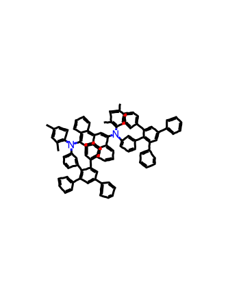 Cc1ccc(N(c2cccc(-c3c(-c4ccccc4)cc(-c4ccccc4)cc3-c3ccccc3)c2)c2cc3c4ccccc4c(N(c4cccc(-c5c(-c6ccccc6)cc(-c6ccccc6)cc5-c5ccccc5)c4)c4ccc(C)cc4C)cc3c3ccccc23)c(C)c1